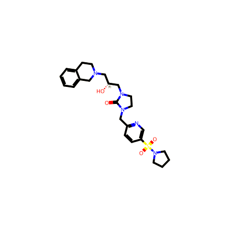 O=C1N(Cc2ccc(S(=O)(=O)N3CCCC3)cn2)CCN1C[C@H](O)CN1CCc2ccccc2C1